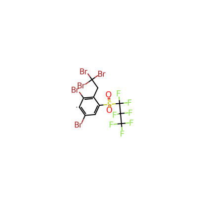 O=S(=O)(c1cc(Br)[c]c(Br)c1CC(Br)(Br)Br)C(F)(F)C(F)(F)C(F)(F)F